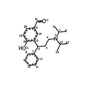 CC(C)N(CCC(c1ccccc1)c1cc(C=O)ccc1O)C(C)C